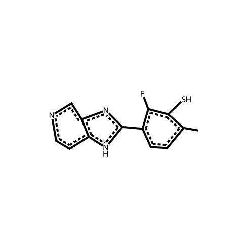 Cc1ccc(-c2nc3cnccc3[nH]2)c(F)c1S